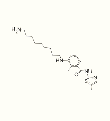 Cc1cnc(NC(=O)c2cccc(NCCCCCCCCCN)c2C)s1